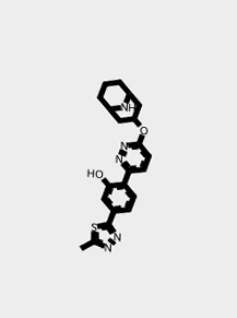 Cc1nnc(-c2ccc(-c3ccc(OC4CC5CCCC(C4)N5)nn3)c(O)c2)s1